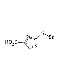 CCSc1nc(C(=O)O)cs1